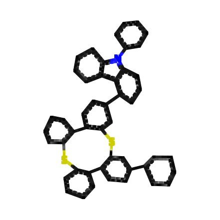 c1ccc(-c2ccc3c(c2)Sc2cc(-c4cccc5c4c4ccccc4n5-c4ccccc4)ccc2-c2ccccc2Sc2ccccc2-3)cc1